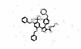 CCNC(=O)c1noc(-c2cc(C(C)(C)C)c(OCc3ccccc3)cc2OCc2ccccc2)c1-c1ccc(CN2CCOCC2)cc1